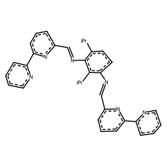 CC(C)c1c[c]c(N=Cc2cccc(-c3ccccn3)n2)c(C(C)C)c1N=Cc1cccc(-c2ccccn2)n1